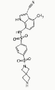 Cc1ccc(NS(=O)(=O)c2ccc(S(=O)(=O)N3CC4(CNC4)C3)cc2)c2[nH]cc(C#N)c12